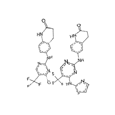 O=C1CCc2cc(Nc3ncc(C(F)(F)F)c(Cl)n3)ccc2N1.O=C1CCc2cc(Nc3ncc(C(F)(F)F)c(Nc4nccs4)n3)ccc2N1